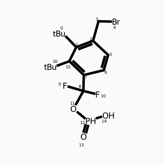 CC(C)(C)c1c(CBr)ccc(C(F)(F)O[PH](=O)O)c1C(C)(C)C